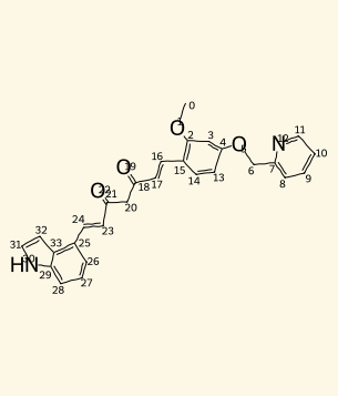 COc1cc(OCc2ccccn2)ccc1C=CC(=O)CC(=O)C=Cc1cccc2[nH]ccc12